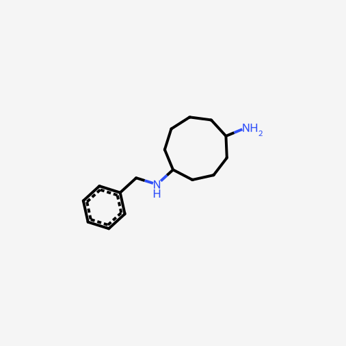 NC1CCCCC(NCc2ccccc2)CCC1